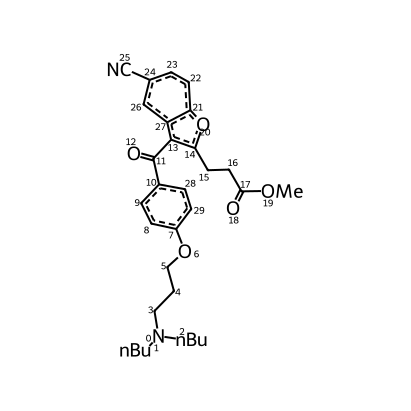 CCCCN(CCCC)CCCOc1ccc(C(=O)c2c(CCC(=O)OC)oc3ccc(C#N)cc23)cc1